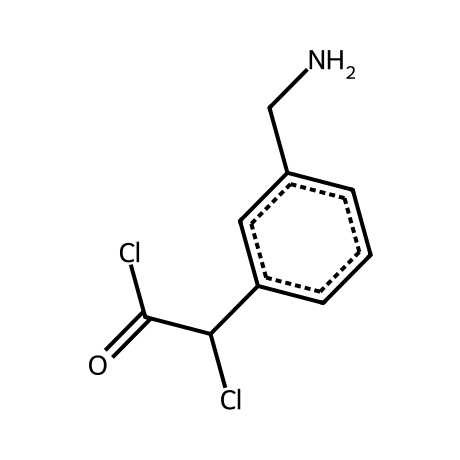 NCc1cccc(C(Cl)C(=O)Cl)c1